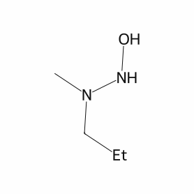 CCCN(C)NO